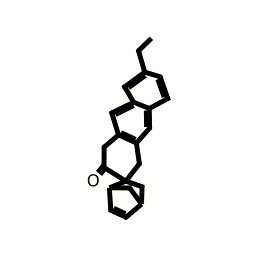 CCc1ccc2cc3c(cc2c1)CC(=O)C1(C3)CC2C=CC1C2